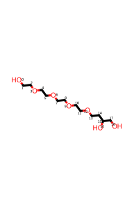 OCCOCCOCCOCCOCCC(O)CO